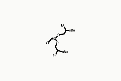 CCCCC(CC)CO[SiH](CCl)OCC(CC)CCCC